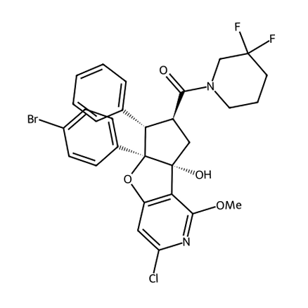 COc1nc(Cl)cc2c1[C@]1(O)C[C@H](C(=O)N3CCCC(F)(F)C3)[C@@H](c3ccccc3)[C@]1(c1ccc(Br)cc1)O2